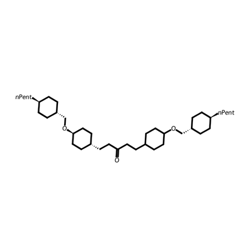 CCCCC[C@H]1CC[C@H](COC2CCC(CCC(=O)CC[C@H]3CC[C@H](OC[C@H]4CC[C@H](CCCCC)CC4)CC3)CC2)CC1